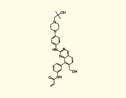 C=CC(=O)Nc1cccc(-c2c(CO)ccc3cnc(Nc4ccc(N5CCN(CC(C)(C)O)CC5)cc4)nc23)c1